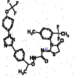 Cc1ccc(C(C)(F)F)c(N2C(=O)CS/C2=N\C(=O)NOC(C)c2ccc(-c3ncn(-c4ccc(OC(F)(F)F)cc4)n3)cc2)c1